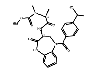 CC(O)c1ccc(C(=O)N2C[C@H](NC(=O)[C@H](C)N(C)C(=O)OC(C)(C)C)C(=O)Nc3ccccc32)cc1